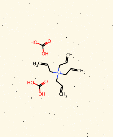 C=CC[N+](CC=C)(CC=C)CC=C.O=C(O)O.O=C(O)O